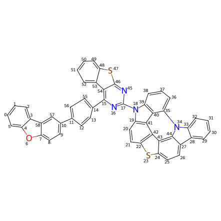 c1ccc2c(c1)oc1ccc(-c3ccc(-c4nc(-n5c6ccc7sc8ccc9c%10ccccc%10n%10c%11cccc5c%11c6c7c8c9%10)nc5sc6ccccc6c45)cc3)cc12